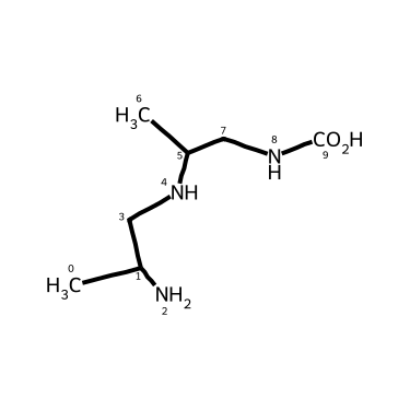 CC(N)CNC(C)CNC(=O)O